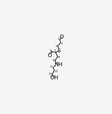 O=CCCSC(C=O)CCNCCCO